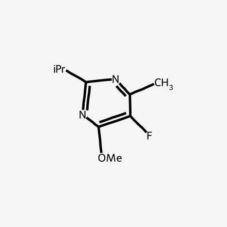 COc1nc(C(C)C)nc(C)c1F